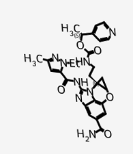 CCn1nc(C)cc1C(=O)Nc1nc2cc(C(N)=O)cc3c2n1[C@]1(CCNC(=O)O[C@@H](C)c2ccncc2)CC1O3